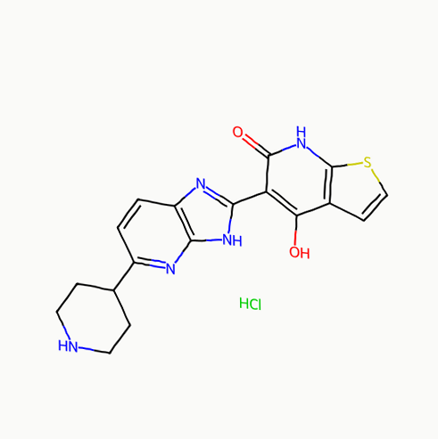 Cl.O=c1[nH]c2sccc2c(O)c1-c1nc2ccc(C3CCNCC3)nc2[nH]1